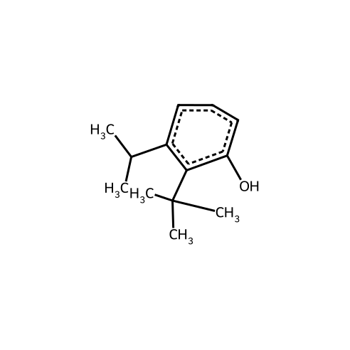 CC(C)c1cccc(O)c1C(C)(C)C